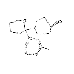 Cc1cccc(C2(C3CCC(=O)CC3)CCCCO2)c1